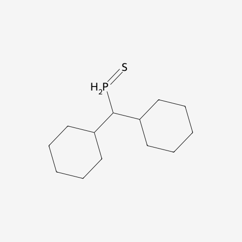 S=[PH2]C(C1CCCCC1)C1CCCCC1